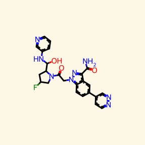 NC(=O)c1nn(CC(=O)N2CC(F)CC2C(O)Nc2cccnc2)c2ccc(-c3ccnnc3)cc12